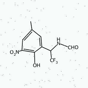 Cc1cc(C(NC=O)C(F)(F)F)c(O)c([N+](=O)[O-])c1